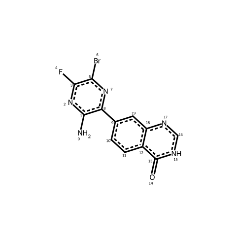 Nc1nc(F)c(Br)nc1-c1ccc2c(=O)[nH]cnc2c1